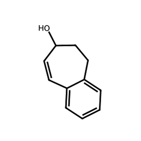 OC1C=Cc2ccccc2CC1